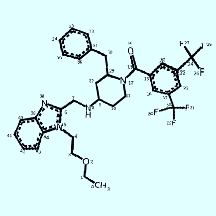 CCOCCn1c(CNC2CCN(C(=O)c3cc(C(F)(F)F)cc(C(F)(F)F)c3)C(Cc3ccccc3)C2)nc2ccccc21